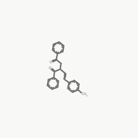 Cc1ccc(C=CC(CC(=O)c2ccccc2)C(=O)c2ccccc2)cc1